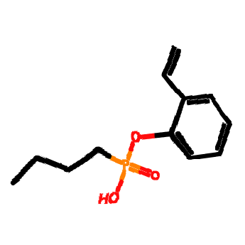 C=Cc1ccccc1OP(=O)(O)CCCC